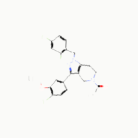 COc1cc(-c2nn(Cc3ccc(F)cc3F)c3c2CN(C(C)=O)CC3)ccc1F